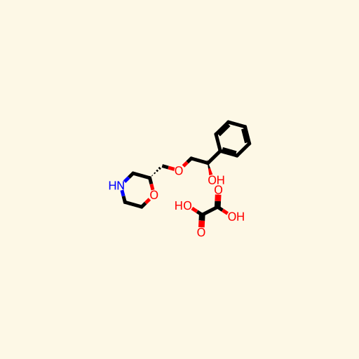 O=C(O)C(=O)O.O[C@@H](COC[C@H]1CNCCO1)c1ccccc1